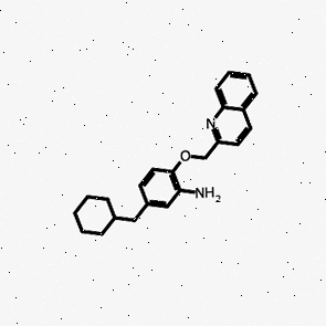 Nc1cc(CC2CCCCC2)ccc1OCc1ccc2ccccc2n1